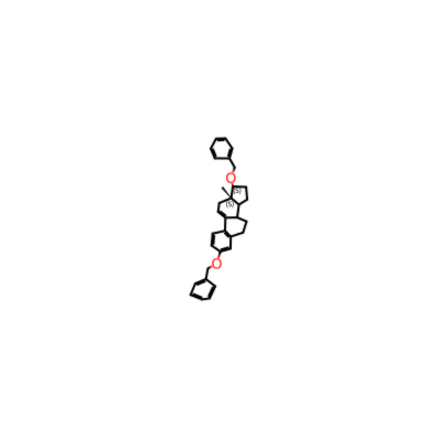 C[C@]12CC=C3c4ccc(OCc5ccccc5)cc4CCC3C1CC[C@@H]2OCc1ccccc1